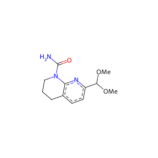 COC(OC)c1ccc2c(n1)N(C(N)=O)CCC2